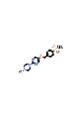 CS(=O)(=O)c1ccc(COc2cnc(N3CCN(C#N)CC3)nc2)cc1